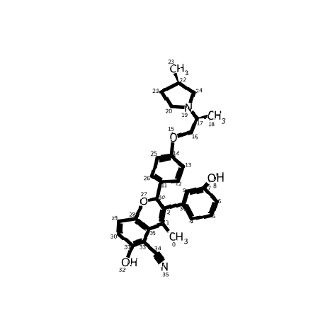 CC1=C(c2cccc(O)c2)C(c2ccc(OC[C@H](C)N3CC[C@@H](C)C3)cc2)Oc2ccc(O)c(C#N)c21